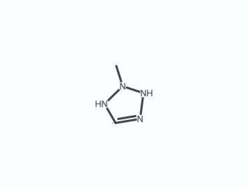 CN1N[C]=NN1